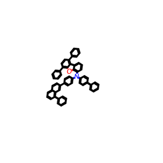 c1ccc(-c2ccc(N(c3ccc(-c4ccc5cccc(-c6ccccc6)c5c4)cc3)c3cccc4c3oc3c(-c5ccccc5)ccc(-c5ccccc5)c34)cc2)cc1